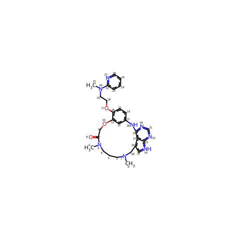 CN1CCCN(C)C(=O)COc2cc(ccc2OCCN(C)c2ccccn2)Nc2ncnc3[nH]cc(c23)C1